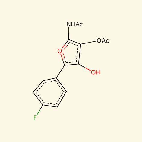 CC(=O)Nc1oc(-c2ccc(F)cc2)c(O)c1OC(C)=O